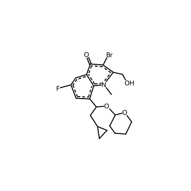 Cn1c(CO)c(Br)c(=O)c2cc(F)cc(C(CC3CC3)OC3CCCCO3)c21